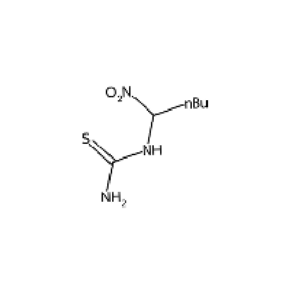 CCCCC(NC(N)=S)[N+](=O)[O-]